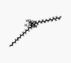 CCCCCCCCCCCCCCCCC(O)(P)C(O)(CO)C(=O)CCCCCCCCCCCCCCC